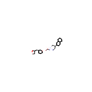 O=C1OCC/C1=C\c1cccc(OCC(O)CN2CCC(c3ccc4ccccc4c3)CC2)c1